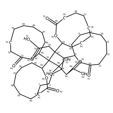 CCCCCC(C1CCCCCCCC(=O)O1)C(CC(=O)O)(C1CCCCCCCC(=O)O1)C(C1CCCCCCCC(=O)O1)(C1CCCCCCCC(=O)O1)C(O)(O)CC(=O)O